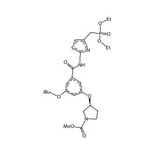 CCOP(=O)(Cc1csc(NC(=O)c2cc(OC(C)CC)cc(O[C@H]3CCN(C(=O)OC)C3)c2)n1)OCC